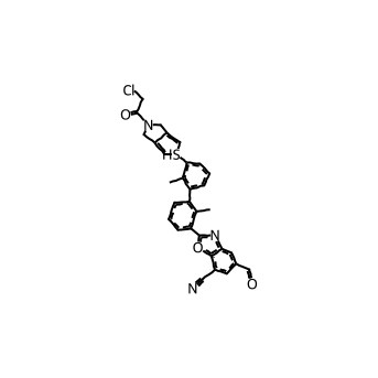 Cc1c(-c2nc3cc(C=O)cc(C#N)c3o2)cccc1-c1cccc([SH]2C=C3CN(C(=O)CCl)CC3=C2)c1C